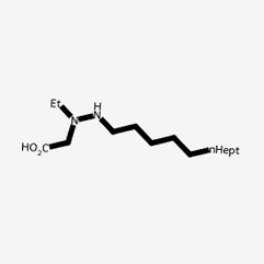 CCCCCCCCCCCCNN(CC)CC(=O)O